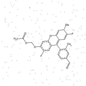 CC(=O)OCOc1cc2c(cc1F)C(c1ccc(C=O)cc1C)=C1C=C(F)C(O)C=C1O2